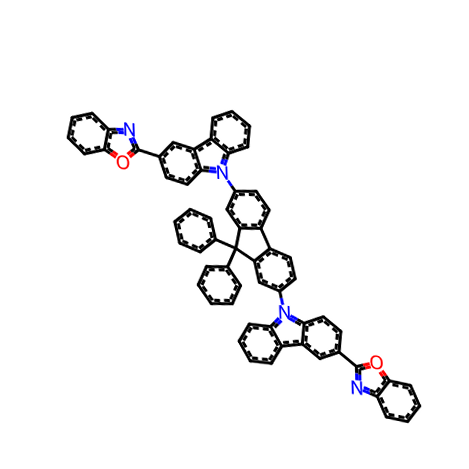 c1ccc(C2(c3ccccc3)c3cc(-n4c5ccccc5c5cc(-c6nc7ccccc7o6)ccc54)ccc3-c3ccc(-n4c5ccccc5c5cc(-c6nc7ccccc7o6)ccc54)cc32)cc1